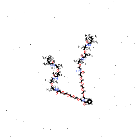 CC(COCC(C)(C)CNC(=O)CC(C)(C)CC(C)(C)C)CC(=O)NCC(C)(C)COCCNC(=O)CCOCCOCCOCCOCCN(CCOCCOCCOCCOCCC(=O)NCC(C)(C)COCC(C)(C)CNC(=O)CC(C)(C)COCC(C)(C)CNC(=O)CC(C)(C)CC(C)(C)C)C(=O)c1ccccc1